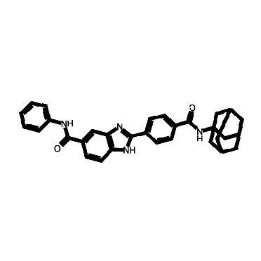 O=C(Nc1ccccc1)c1ccc2[nH]c(-c3ccc(C(=O)NC45CC6CC(CC(C6)C4)C5)cc3)nc2c1